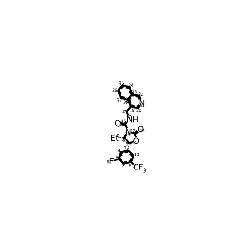 CC[C@H]1[C@@H](c2cc(F)cc(C(F)(F)F)c2)OC(=O)N1C(=O)NCc1cncc2ccccc12